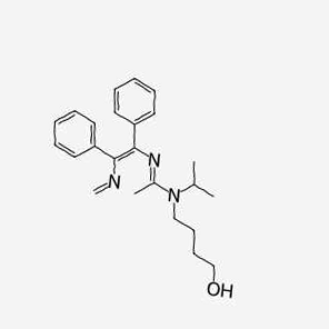 C=N/C(=C(\N=C(/C)N(CCCCO)C(C)C)c1ccccc1)c1ccccc1